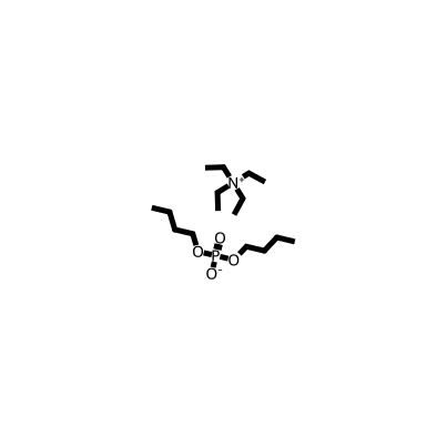 CCCCOP(=O)([O-])OCCCC.CC[N+](CC)(CC)CC